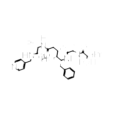 CC(C)[C@H](O)C(=O)N[C@@H](C)C(=O)N[C@@H](Cc1ccccc1)[C@@H](O)C[C@@H](C)C(=O)N[C@H](C(=O)NCc1ccncc1)C(C)C